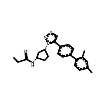 CCC(=O)N[C@H]1CC[C@@H](n2nncc2-c2ccc(-c3ccc(C)cc3C)cc2)C1